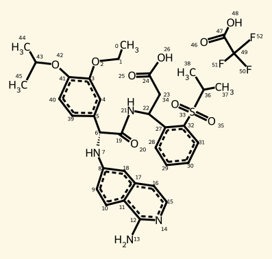 CCOc1cc([C@@H](Nc2ccc3c(N)nccc3c2)C(=O)NC(CC(=O)O)c2ccccc2S(=O)(=O)C(C)C)ccc1OC(C)C.O=C(O)C(F)(F)F